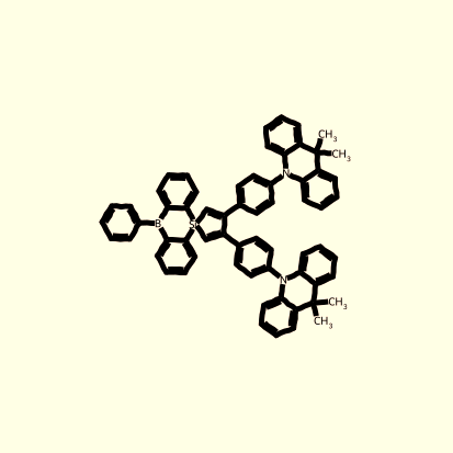 CC1(C)c2ccccc2N(c2ccc(C3=C[Si]4(C=C3c3ccc(N5c6ccccc6C(C)(C)c6ccccc65)cc3)c3ccccc3B(c3ccccc3)c3ccccc34)cc2)c2ccccc21